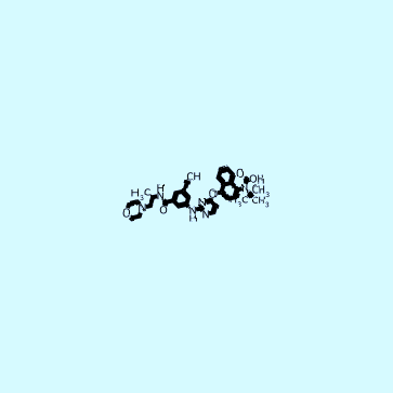 C#Cc1cc(Nc2nccc(Oc3ccc(N(C(=O)O)C(C)(C)C)c4ccccc34)n2)cc(C(=O)N[C@@H](C)CN2CCOCC2)c1